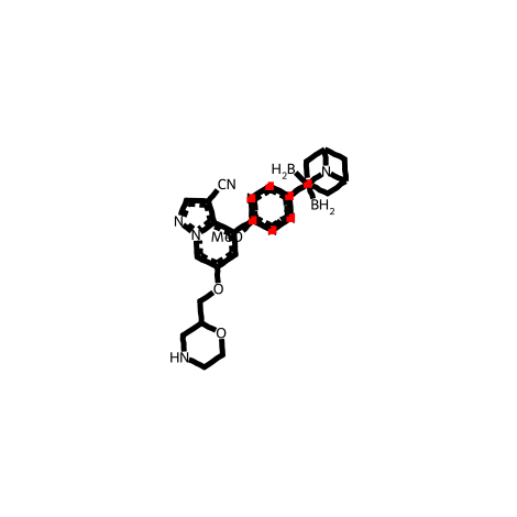 BC(B)(c1ccc(OC)nc1)N1C2CC1CN(c1cnc(-c3cc(OCC4CNCCO4)cn4ncc(C#N)c34)cn1)C2